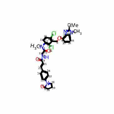 COc1nc2c(OCc3c(Cl)ccc(N(C)C(=O)CNC(=O)C=Cc4ccc(N5CCCC5=O)cc4)c3Cl)cccc2n1C